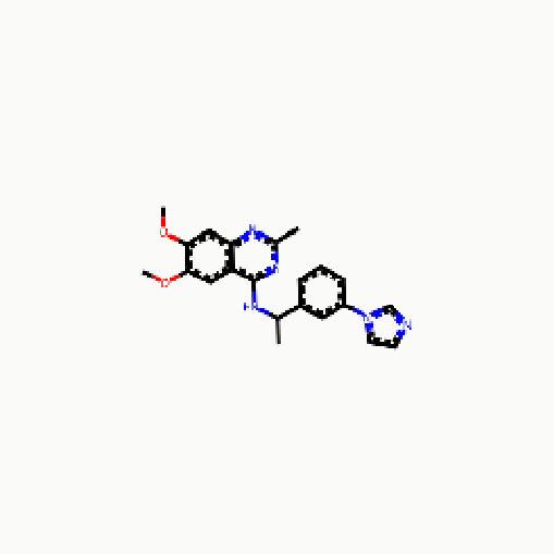 COc1cc2nc(C)nc(NC(C)c3cccc(-n4ccnc4)c3)c2cc1OC